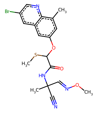 CO/N=C/C(C)(C#N)NC(=O)C(Oc1cc(C)c2ncc(Br)cc2c1)SC